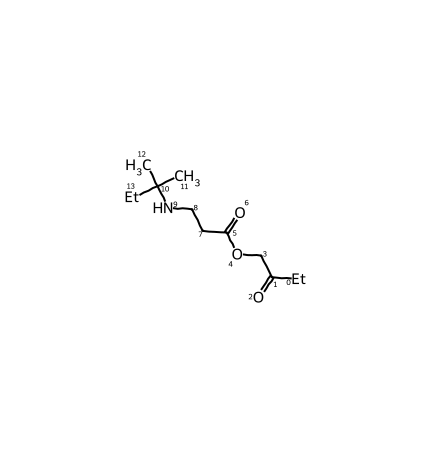 CCC(=O)COC(=O)CCNC(C)(C)CC